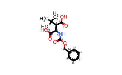 CC(C)(C)C(C(=O)O)C(NC(=O)OCc1ccccc1)C(=O)O